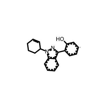 Oc1c[c]ccc1-c1nn(C2C=CCCC2)c2ccccc12